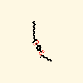 CCCCCCCCCC[C@H]1CO[C@H](c2ccc(C(=O)O[C@H](C)CCCCCC)cc2)O[C@@H]1C